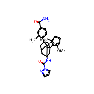 COc1cccc(OC)c1C12CC3CC(NC(=O)n4cccn4)(C1)C(C(=O)O)C(c1ccc(C(N)=O)cc1C)(C3)C2